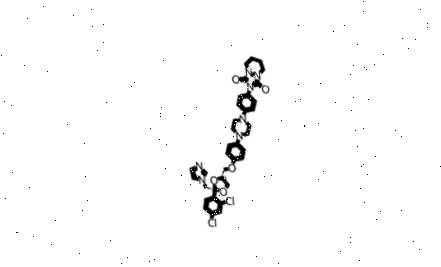 O=c1n(-c2ccc(N3CCN(c4ccc(OC[C@@H]5CO[C@@](Cn6ccnc6)(c6ccc(Cl)cc6Cl)O5)cc4)CC3)cc2)c(=O)n2n1CCCC2